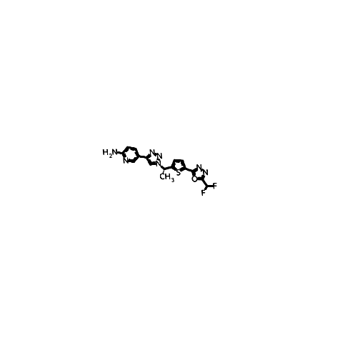 C[C@@H](c1ccc(-c2nnc(C(F)F)o2)s1)n1cc(-c2ccc(N)nc2)nn1